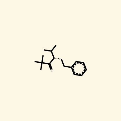 CC(C)[C@H](CCc1ccccc1)C(=O)C(C)(C)C